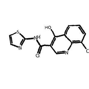 O=C(Nc1nccs1)c1cnc2c(Cl)cccc2c1O